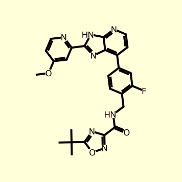 COc1ccnc(-c2nc3c(-c4ccc(CNC(=O)c5noc(C(C)(C)C)n5)c(F)c4)ccnc3[nH]2)c1